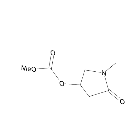 COC(=O)OC1CC(=O)N(C)C1